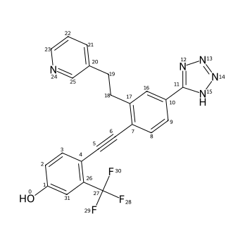 Oc1ccc(C#Cc2ccc(-c3nnn[nH]3)cc2CCc2cccnc2)c(C(F)(F)F)c1